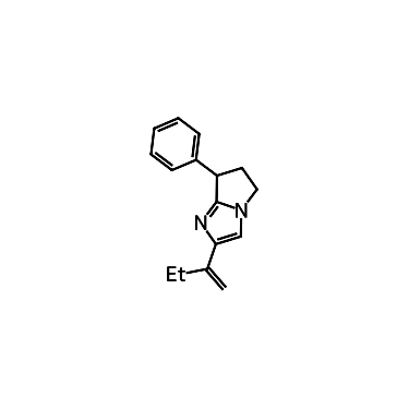 C=C(CC)c1cn2c(n1)C(c1ccccc1)CC2